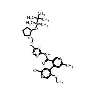 COc1cnc(Cl)cc1-c1cc(C)ncc1C(=O)Nc1nnc(OC[C@@H]2CCCC2O[Si](C)(C)C(C)(C)C)s1